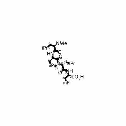 CN[C@H](CC(C)C)C(=O)N[C@H](CC(C)C)C(=O)N(C)[C@H](CC(C)C)C(=O)N[C@H](CC(C)C)C(=O)O